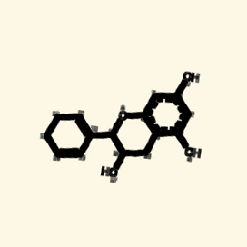 Oc1cc(O)c2c(c1)OC(C1=CCCC=C1)C(O)C2